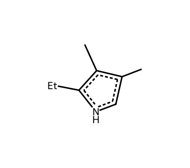 CCc1[nH]cc(C)c1C